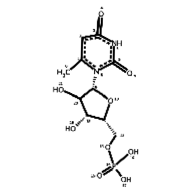 Cc1cc(=O)[nH]c(=O)n1[C@@H]1O[C@H](COP(=O)(O)O)[C@H](O)C1O